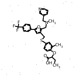 CCC(Oc1ccc(SCc2cc(-c3ccc(C(F)(F)F)cc3)oc2CN(C)Cc2cccnc2)cc1C)C(=O)O